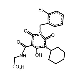 CCc1ccccc1Cn1c(=O)c(C(=O)NCC(=O)O)c(O)n(C2CCCCC2)c1=O